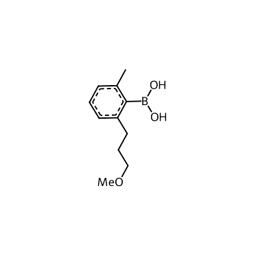 COCCCc1cccc(C)c1B(O)O